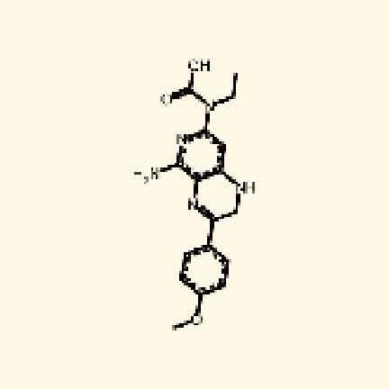 CCN(C(=O)O)c1cc2c(c(N)n1)N=C(c1ccc(OC)cc1)CN2